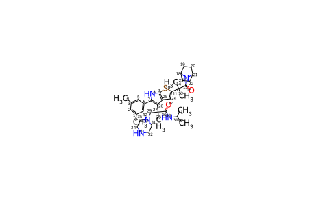 Cc1cc(C)cc(-c2[nH]c3sc(C(C)(C)C(=O)N4C5CCC4CC5)cc3c2C(C)(CN2CCNCC2)C(=O)NC(C)C)c1